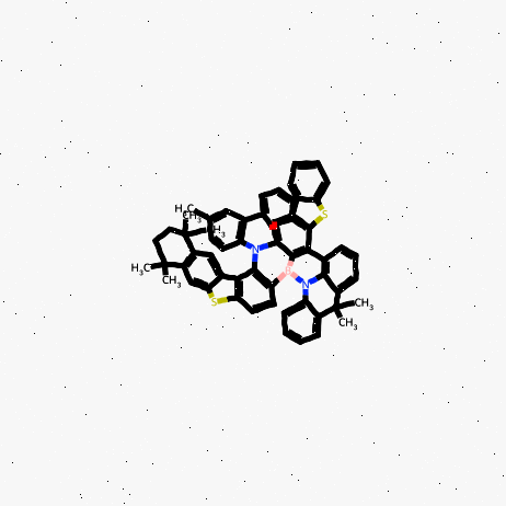 Cc1ccc(N2c3cc4c(sc5ccccc54)c4c3B(c3ccc5sc6cc7c(cc6c5c32)C(C)(C)CCC7(C)C)N2c3ccccc3C(C)(C)c3cccc-4c32)c(-c2ccccc2)c1